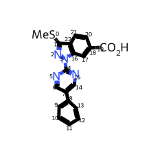 CSc1nn(-c2ncc(-c3ccccc3)cn2)c2cc(C(=O)O)ccc12